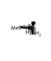 COCCOCCNC(=O)[C@@H](N(CSc1cccs1)C(=O)CCC(N)=O)C(C)(C)C